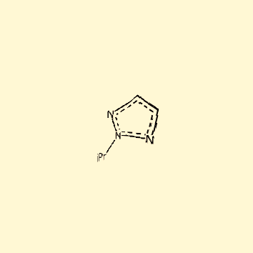 CC(C)n1nccn1